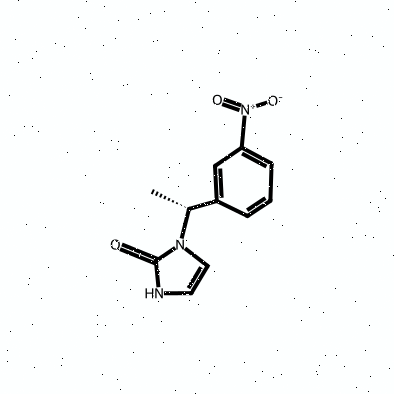 C[C@H](c1cccc([N+](=O)[O-])c1)n1cc[nH]c1=O